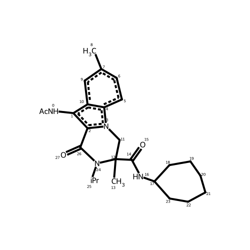 CC(=O)Nc1c2n(c3ccc(C)cc13)CC(C)(C(=O)NC1CCCCCC1)N(C(C)C)C2=O